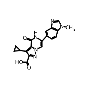 Cn1cnc2cc(-c3cn4nc(C(=O)O)c(C5CC5)c4c(=O)[nH]3)ccc21